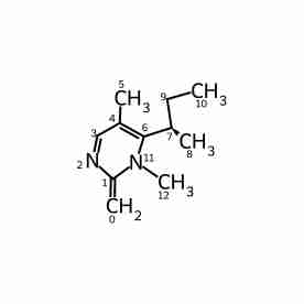 C=C1N=CC(C)=C([C@H](C)CC)N1C